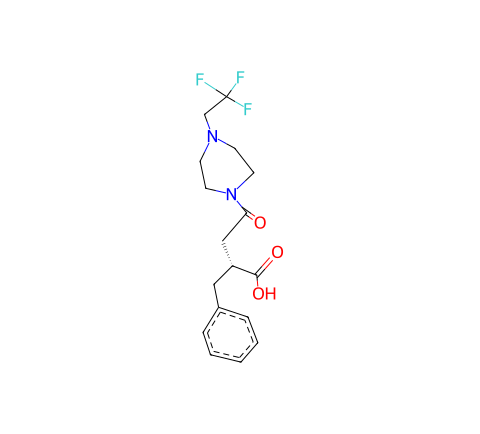 O=C(O)[C@@H](CC(=O)N1CCN(CC(F)(F)F)CC1)Cc1ccccc1